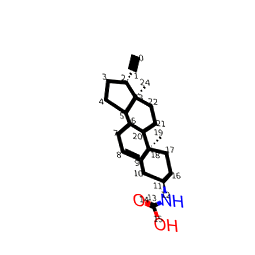 C#C[C@H]1CCC2C3CC=C4C[C@H](NC(=O)O)CC[C@]4(C)C3CC[C@@]21C